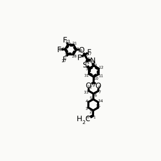 C=CC1CCC(C2COC(c3ccc4nc(C(F)(F)Oc5cc(F)c(F)c(F)c5)sc4c3)OC2)CC1